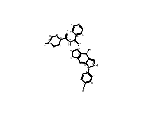 C[C@H]1C2=CNN(c3ccc(F)cc3)C2=CC2=C1[C@@H](CC(NC(=O)C1CCN(C)CC1)c1ccccc1)CC2